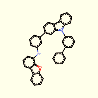 c1ccc(-c2cccc(-n3c4ccccc4c4ccc(-c5cccc(Nc6cccc7c6oc6ccccc67)c5)cc43)c2)cc1